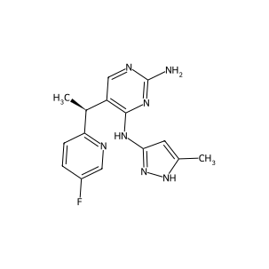 Cc1cc(Nc2nc(N)ncc2[C@H](C)c2ccc(F)cn2)n[nH]1